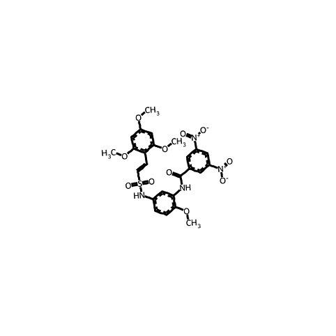 COc1cc(OC)c(C=CS(=O)(=O)Nc2ccc(OC)c(NC(=O)c3cc([N+](=O)[O-])cc([N+](=O)[O-])c3)c2)c(OC)c1